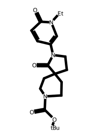 CCn1cc(N2CCC3(CCN(C(=O)OC(C)(C)C)CC3)C2=O)ccc1=O